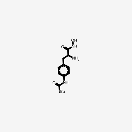 CC(C)(C)C(=O)Nc1ccc(CC(N)C(=O)NO)cc1